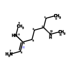 CCC(CC/C(=C/N)NC)NC